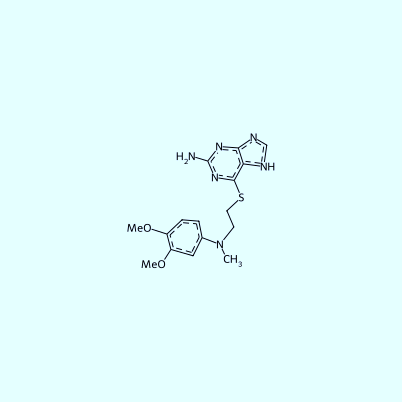 COc1ccc(N(C)CCSc2nc(N)nc3nc[nH]c23)cc1OC